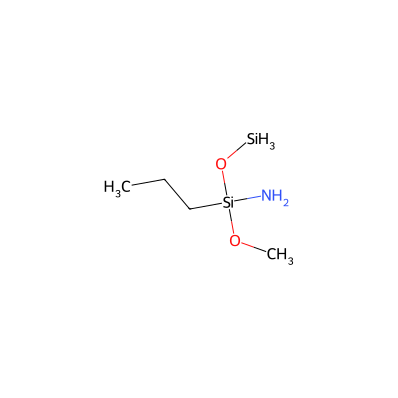 CCC[Si](N)(OC)O[SiH3]